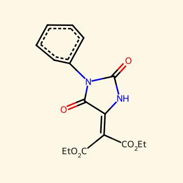 CCOC(=O)C(C(=O)OCC)=C1NC(=O)N(c2ccccc2)C1=O